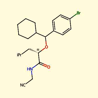 CC(C)C[C@H](OC(c1ccc(Br)cc1)C1CCCCC1)C(=O)NCC#N